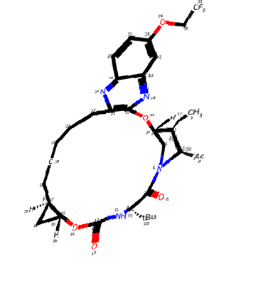 CC(=O)[C@@H]1[C@H](C)[C@@H]2CN1C(=O)[C@H](C(C)(C)C)NC(=O)O[C@@H]1C[C@H]1CCCCCc1nc3ccc(OCC(F)(F)F)cc3nc1O2